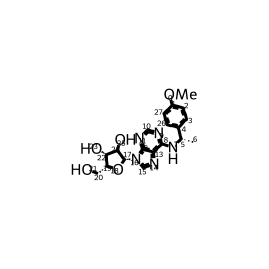 COc1ccc([C@H](C)Nc2ncnc3c2ncn3[C@@H]2O[C@H](CO)[C@H](O)C2O)cc1